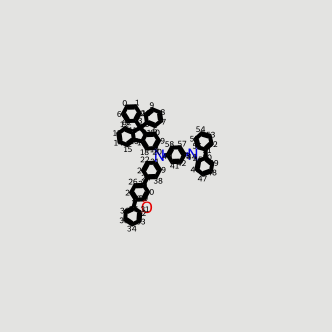 c1ccc(C2(c3ccccc3)c3ccccc3-c3cc(N(c4ccc(-c5ccc6c(c5)oc5ccccc56)cc4)c4ccc(-n5c6ccccc6c6ccccc65)cc4)ccc32)cc1